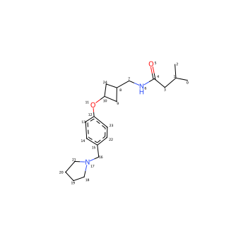 CC(C)CC(=O)NCC1CC(Oc2ccc(CN3CCCC3)cc2)C1